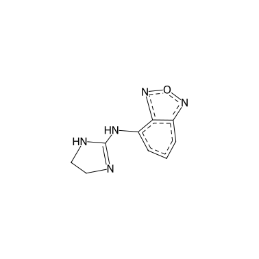 c1cc(NC2=NCCN2)c2nonc2c1